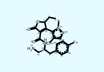 CCC1OC(=O)C(C(=O)N[C@H](CN)Cc2ccc(F)cc2)=C1c1c(Cl)cnn1C